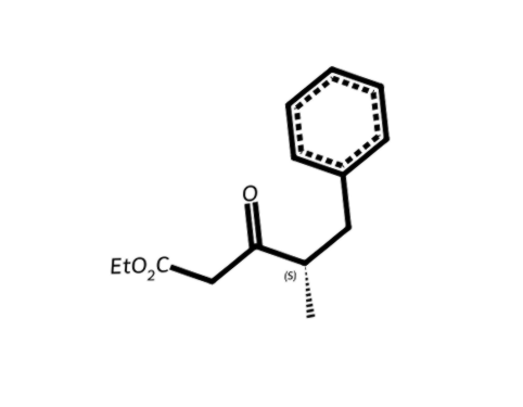 CCOC(=O)CC(=O)[C@@H](C)Cc1ccccc1